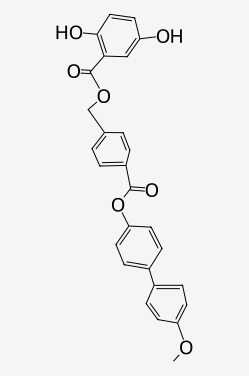 COc1ccc(-c2ccc(OC(=O)c3ccc(COC(=O)c4cc(O)ccc4O)cc3)cc2)cc1